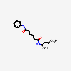 O=C(O)CC[C@H](NC(=O)CCCCC(=O)Nc1ccccc1)C(=O)O